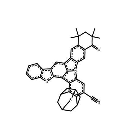 CC1(C)CC(C)(C)c2cc3c4cc5c6ccccc6oc5c5c6c7c(c(C#N)cc6n(c3cc2C1=O)c45)C1CC2CC(C1)CC7C2